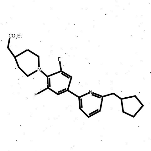 CCOC(=O)CC1CCN(c2c(F)cc(-c3cccc(CC4CCCC4)n3)cc2F)CC1